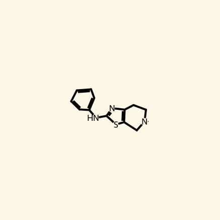 c1ccc(Nc2nc3c(s2)C[N]CC3)cc1